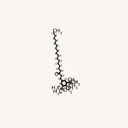 CCCCCCCCCCCCCCCCCC(=O)CCc1cc(C(C)(C)C)c(O)c(C(C)(C)C)c1